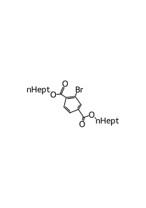 CCCCCCCOC(=O)c1ccc(C(=O)OCCCCCCC)c(Br)c1